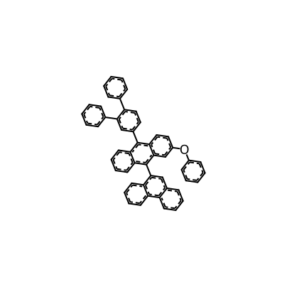 c1ccc(Oc2ccc3c(-c4ccc(-c5ccccc5)c(-c5ccccc5)c4)c4ccccc4c(-c4cc5ccccc5c5ccccc45)c3c2)cc1